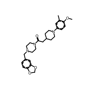 COc1ccc(N2CCC(CC(=O)N3CCN(Cc4ccc5c(c4)OCO5)CC3)CC2)cc1C